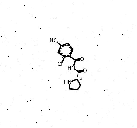 N#Cc1ccc(C(=O)NC(=O)[C@@H]2CCCN2)c(Cl)c1